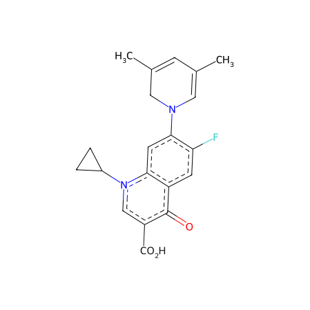 CC1=CN(c2cc3c(cc2F)c(=O)c(C(=O)O)cn3C2CC2)CC(C)=C1